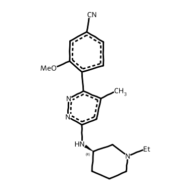 CCN1CCC[C@@H](Nc2cc(C)c(-c3ccc(C#N)cc3OC)nn2)C1